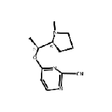 C[C@H](Oc1ccnc(C#N)n1)[C@@H]1CCCN1C